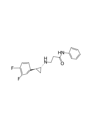 O=C(CCN[C@@H]1C[C@H]1c1ccc(F)c(F)c1)Nc1ccccc1